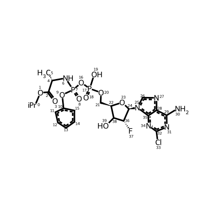 CC(C)OC(=O)[C@H](C)NP(=O)(Oc1ccccc1)OP(=O)(O)OC[C@H]1O[C@@H](n2cnc3c(N)nc(Cl)nc32)[C@H](F)C1O